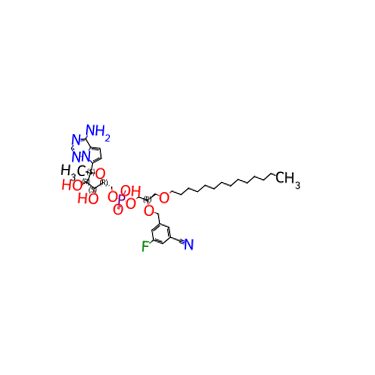 CCCCCCCCCCCCCCOC[C@H](COP(=O)(O)OC[C@H]1O[C@@](C)(c2ccc3c(N)ncnn23)[C@H](O)[C@@H]1O)OCc1cc(F)cc(C#N)c1